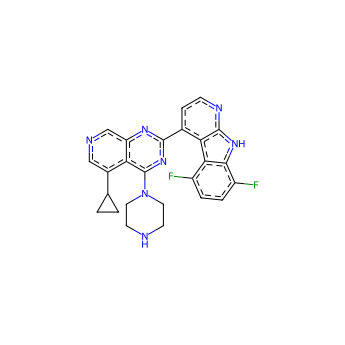 Fc1ccc(F)c2c1[nH]c1nccc(-c3nc(N4CCNCC4)c4c(C5CC5)cncc4n3)c12